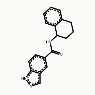 O=C(NC1CCCc2ccccc21)c1ccc2[nH]ncc2c1